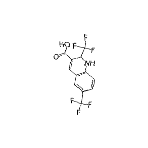 O=C(O)C1=Cc2cc(C(F)(F)F)ccc2NC1C(F)(F)F